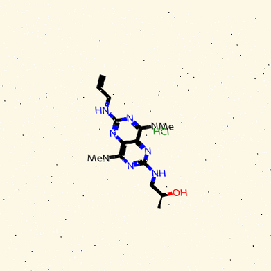 C=CCNc1nc(NC)c2nc(NC[C@H](C)O)nc(NC)c2n1.Cl